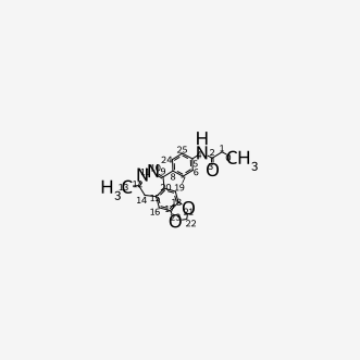 CCC(=O)Nc1ccc(C2=NN=C(C)Cc3cc4c(cc32)OCO4)cc1